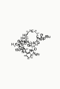 CC(C)n1c(O[C@@H]2C[C@H]3C(=O)N[C@]4(C(=O)NS(=O)(=O)N(C)C)C[C@H]4/C=C\CCCCC[C@H](NC(=O)OC(C)(C)C)C(=O)N3C2)nc2c(-c3csc(C(C)(C)C)n3)cccc21